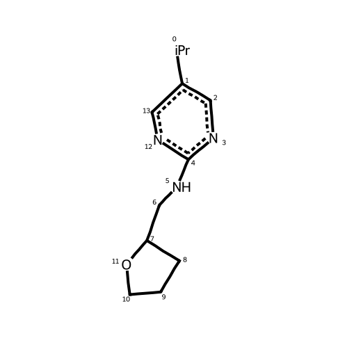 CC(C)c1cnc(NCC2CCCO2)nc1